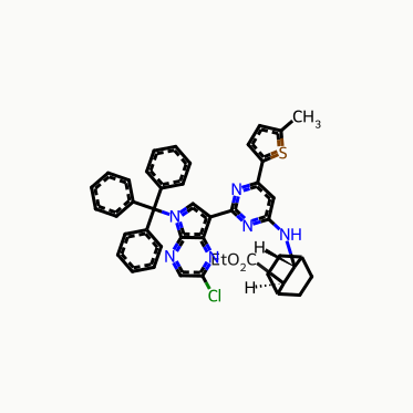 CCOC(=O)[C@@H]1C2CCC(CC2)[C@H]1Nc1cc(-c2ccc(C)s2)nc(-c2cn(C(c3ccccc3)(c3ccccc3)c3ccccc3)c3ncc(Cl)nc23)n1